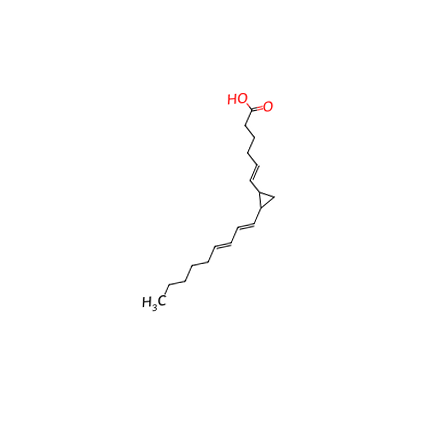 CCCCCC=CC=CC1CC1C=CCCCC(=O)O